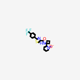 O=C(NC1(c2cccc[n+]2[O-])CCC1)c1csc(-c2ccc(C(F)(F)F)cc2)n1